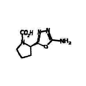 Nc1nnc([C@H]2CCCN2C(=O)O)o1